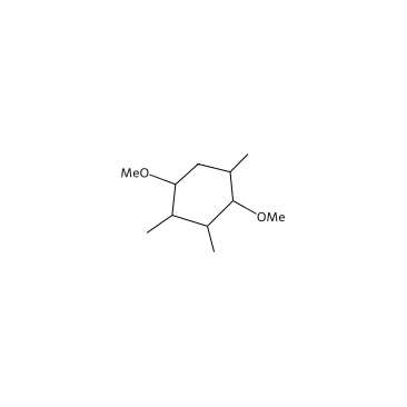 COC1CC(C)C(OC)C(C)C1C